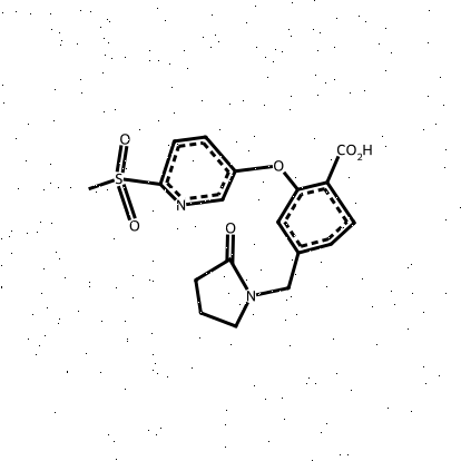 CS(=O)(=O)c1ccc(Oc2cc(CN3CCCC3=O)ccc2C(=O)O)cn1